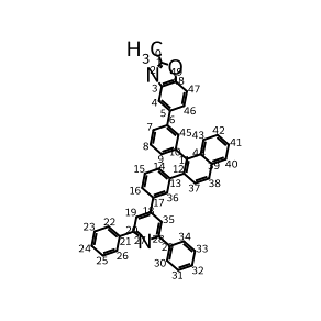 Cc1nc2cc(-c3cccc(-c4c(-c5cccc(-c6cc(-c7ccccc7)nc(-c7ccccc7)c6)c5)ccc5ccccc45)c3)ccc2o1